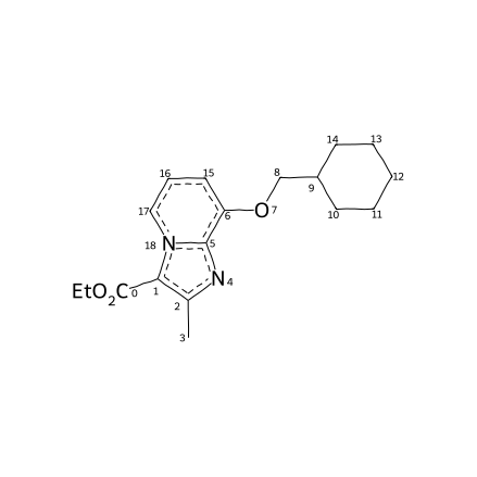 CCOC(=O)c1c(C)nc2c(OCC3CCCCC3)cccn12